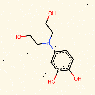 OCCN(CCO)c1ccc(O)c(O)c1